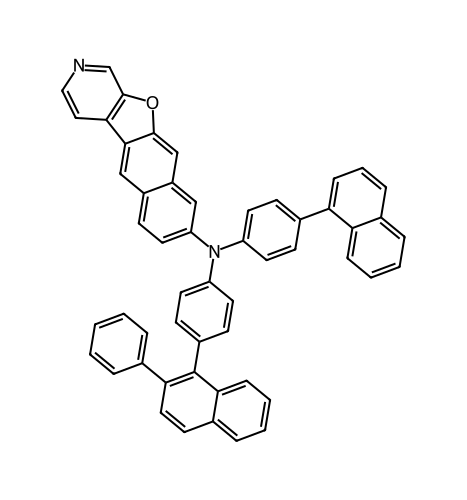 c1ccc(-c2ccc3ccccc3c2-c2ccc(N(c3ccc(-c4cccc5ccccc45)cc3)c3ccc4cc5c(cc4c3)oc3cnccc35)cc2)cc1